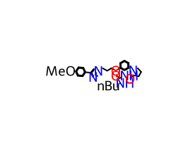 CCCCNC(=O)Nc1c(OCCCn2cnc(-c3ccc(OC)cc3)c2)cccc1N1CCCC1=O